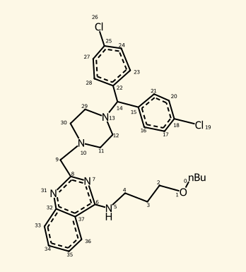 CCCCOCCCNc1nc(CN2CCN(C(c3ccc(Cl)cc3)c3ccc(Cl)cc3)CC2)nc2ccccc12